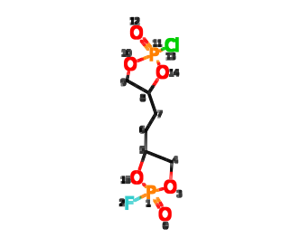 O=P1(F)OCC(CCC2COP(=O)(Cl)O2)O1